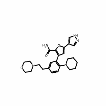 NC(=O)c1oc(-c2cn[nH]c2)cc1-c1cc(CCN2CCOCC2)ccc1N1CCCCC1